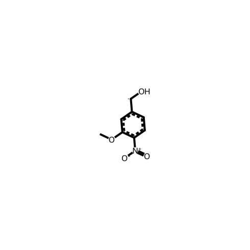 COc1cc([CH]O)ccc1[N+](=O)[O-]